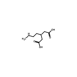 CNCCN(CC(=O)O)CC(=O)O